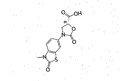 Cn1c(=O)sc2cc(N3C[C@H](C(=O)O)OC3=O)ccc21